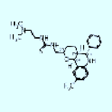 CN(C)CCNC(=S)NC[C@H]1CC[C@@H]2[C@H](O1)c1cc(C(F)(F)F)ccc1N[C@H]2c1ccccc1